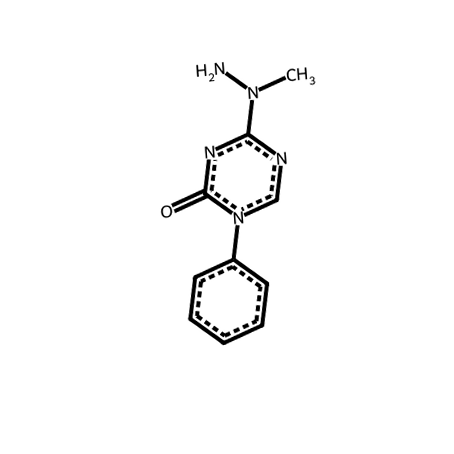 CN(N)c1ncn(-c2ccccc2)c(=O)n1